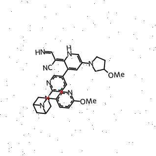 COc1ccc(CN2C3CC2CN(c2ccc(C4=CC(N5CCC(OC)C5)=CN/C4=C(/C#N)C=N)cn2)C3)cn1